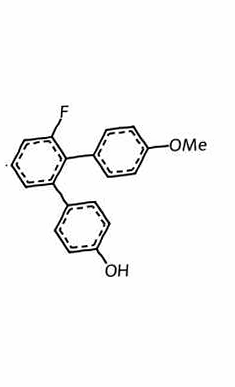 COc1ccc(-c2c(F)c[c]cc2-c2ccc(O)cc2)cc1